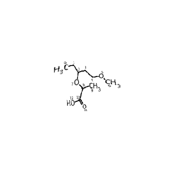 CCC(CCOC)OC(C)C(=O)O